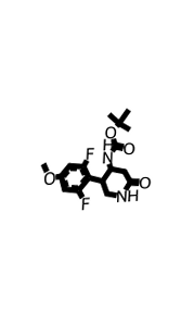 COc1cc(F)c(C2CNC(=O)CC2NC(=O)OC(C)(C)C)c(F)c1